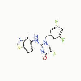 Cc1c(Nc2nc(=O)c(F)cn2Cc2cc(F)cc(F)c2)ccc2scnc12